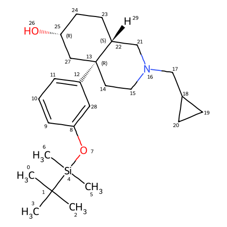 CC(C)(C)[Si](C)(C)Oc1cccc([C@@]23CCN(CC4CC4)C[C@H]2CC[C@@H](O)C3)c1